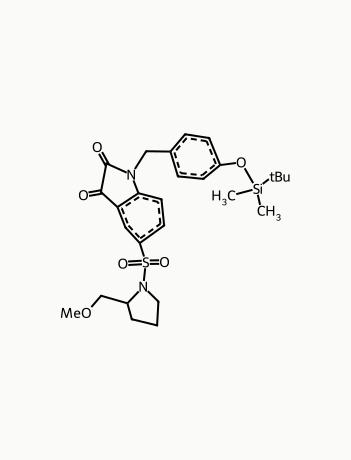 COCC1CCCN1S(=O)(=O)c1ccc2c(c1)C(=O)C(=O)N2Cc1ccc(O[Si](C)(C)C(C)(C)C)cc1